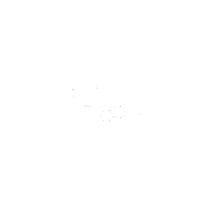 CCC1C/C(=N\Cc2ccc3cc(OC)ccc3c2)C([C@H](C)OC(=O)C(C)(C)C)N(C(=O)CC(F)(F)F)C1